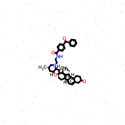 CC1=C2C[C@H]3[C@@H](CC=C4CC(=O)CC[C@@]43C)[C@@H]2CC[C@]12O[C@@H]1C[C@H](C)CN(CCNC(=O)c3ccc(C(=O)c4ccccc4)cc3)[C@H]1[C@H]2C